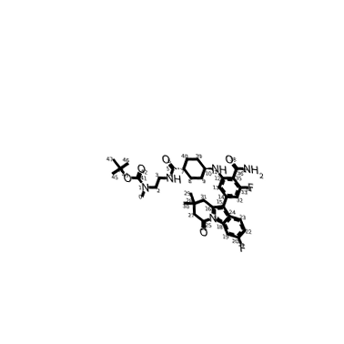 CN(CCNC(=O)[C@H]1CC[C@H](Nc2cc(-c3c4n(c5cc(F)ccc35)C(=O)CC(C)(C)C4)cc(F)c2C(N)=O)CC1)C(=O)OC(C)(C)C